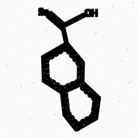 OC(=[Se])c1ccc2ccccc2c1